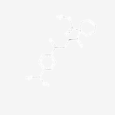 COC(=O)C1(C(=O)CCC(=O)c2ccc(C(C)C)cc2)C=CC=CC1